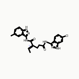 C/C=C(\CCC(=O)Nc1n[nH]c2cc(Cl)ccc12)C(=O)Nc1n[nH]c2ccc(C)cc12